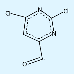 O=[C]c1cc(Cl)nc(Cl)n1